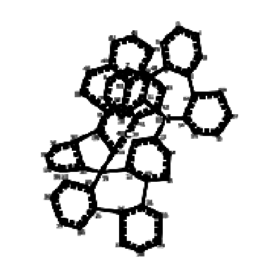 c1ccc2c(c1)-c1ccccc1N(c1ccc3c(c1)C1(c4ccccc4-c4ccccc4-3)c3ccccc3-c3c1cc1ccc4cccc5ccc3c1c45)c1ccccc1-2